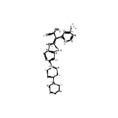 NC(=O)/C(=C1\Nc2ccc(N3CCC(N4CCCCC4)CC3)cc2S1)c1nccc(C(F)(F)F)n1